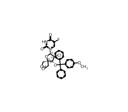 COc1ccc(C(O[C@H]2[C@H](Cl)[C@H](n3cc(F)c(=O)[nH]c3=O)O[C@@]2(CO)CCl)(c2ccccc2)c2ccccc2)cc1